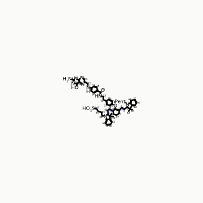 CCCCC[N+]1=C(/C=C/C2=C(Oc3ccc(CCNC(=O)c4ccc(NCc5cnc6nc(N)[nH]c(=O)c6n5)cc4)cc3)C(=C/C=C3/N(CCCCS(=O)(=O)O)c4ccccc4C3(C)C)/CCC2)C(C)(C)c2ccccc21